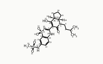 CC(C)CCN1C(=O)C(C2=NS(=O)(=O)c3cc(NS(C)(=O)=O)ccc3N2)=C(O)[C@@H]2CCC[C@@H]21